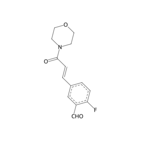 O=Cc1cc(/C=C/C(=O)N2CCOCC2)ccc1F